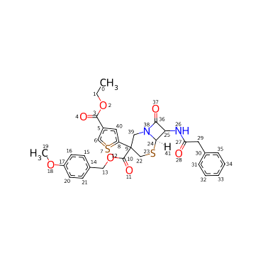 CCOC(=O)c1csc(C2(C(=O)OCc3ccc(OC)cc3)CS[C@@H]3C(NC(=O)Cc4ccccc4)C(=O)N3C2)c1